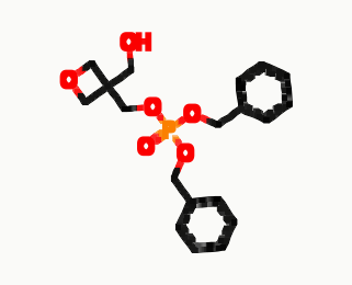 O=P(OCc1ccccc1)(OCc1ccccc1)OCC1(CO)COC1